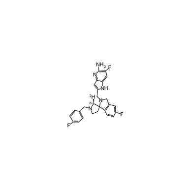 [2H][C@@H]1N(Cc2ccc(F)cc2)CCC12c1ccc(F)cc1CN2Cc1cc2nc(N)c(F)cc2[nH]1